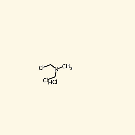 CN(CCl)CCl.Cl